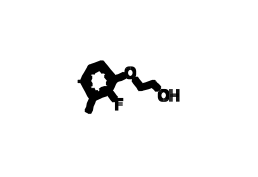 Cc1[c]ccc(OCCO)c1F